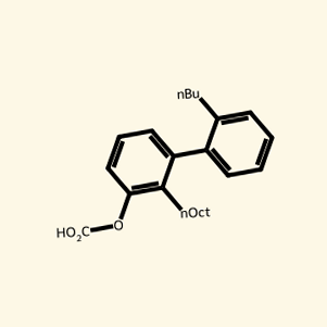 CCCCCCCCc1c(OC(=O)O)cccc1-c1ccccc1CCCC